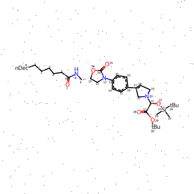 CCCCCCCCCCCCCCCC(=O)NC[C@H]1CN(c2ccc(C3=CCN([C@@H](O[Si](C)(C)C(C)(C)C)C(=O)OC(C)(C)C)C3)cc2)C(=O)O1